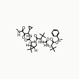 CNC(=O)C(=O)C(NC(=O)[C@@H]1[C@@H]2[C@H](CN1C(=O)[C@@H](NC(=O)N[C@H](C(=O)O[C@H](C)c1ccccc1)C(C)(C)C)C(C)(C)C)C2(C)C)C1CC1